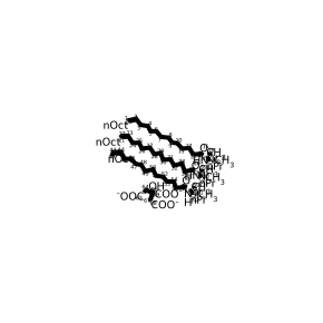 CCCCCCCC/C=C\CCCCCCCCCCCC(=O)N[N+](C)(C)CCC.CCCCCCCC/C=C\CCCCCCCCCCCC(=O)N[N+](C)(C)CCC.CCCCCCCC/C=C\CCCCCCCCCCCC(=O)N[N+](C)(C)CCC.O=C([O-])CC(O)(CC(=O)[O-])C(=O)[O-]